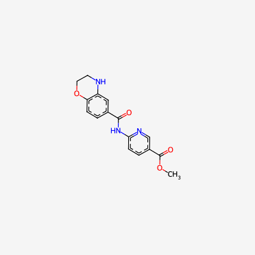 COC(=O)c1ccc(NC(=O)c2ccc3c(c2)NCCO3)nc1